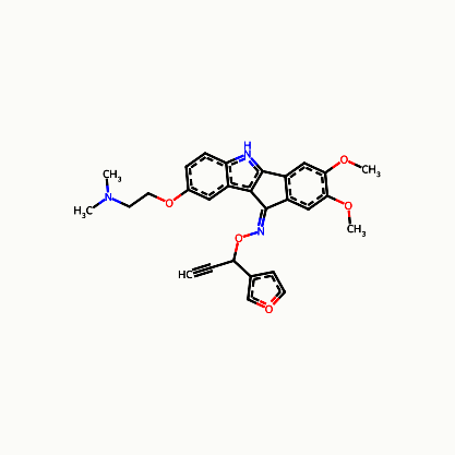 C#CC(O/N=C1/c2cc(OC)c(OC)cc2-c2[nH]c3ccc(OCCN(C)C)cc3c21)c1ccoc1